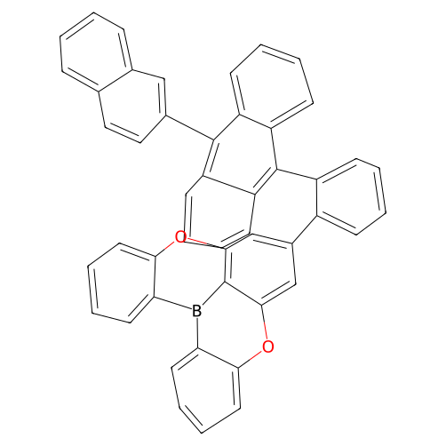 c1ccc2c(c1)Oc1cc(-c3ccccc3-c3c4ccccc4c(-c4ccc5ccccc5c4)c4ccccc34)cc3c1B2c1ccccc1O3